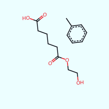 Cc1ccccc1.O=C(O)CCCCC(=O)OCCO